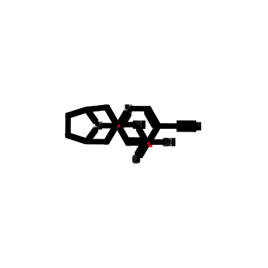 N#Cc1ccc(N2C3CCC2CC(NC(=O)O)C3)nc1